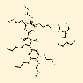 CCCCC1=C(c2cc(CCCC)c(CCCC)c(CCCC)c2)[N+](=[N-])C(c2cc(CCCC)c(CCCC)c(CCCC)c2)=C1.CC[N](CC)[Pd][N](CC)CC